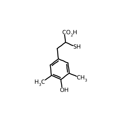 Cc1cc(CC(S)C(=O)O)cc(C)c1O